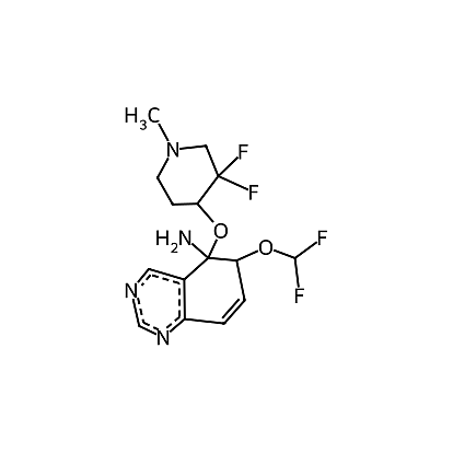 CN1CCC(OC2(N)c3cncnc3C=CC2OC(F)F)C(F)(F)C1